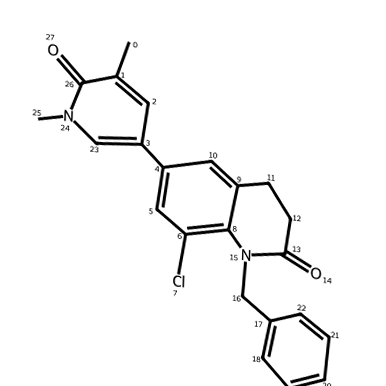 Cc1cc(-c2cc(Cl)c3c(c2)CCC(=O)N3Cc2ccccc2)cn(C)c1=O